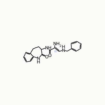 N/C(=C\NCc1ccccc1)C(=O)NC1CCc2ccccc2NC1=O